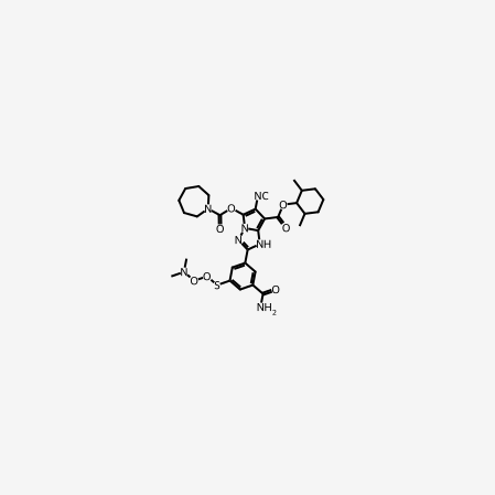 [C-]#[N+]c1c(C(=O)OC2C(C)CCCC2C)c2[nH]c(-c3cc(SOON(C)C)cc(C(N)=O)c3)nn2c1OC(=O)N1CCCCCC1